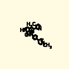 Cc1ccncc1-c1cc2cc[nH]c(=O)c2c(Nc2ccc(C3CCN(C)CC3)cc2)n1